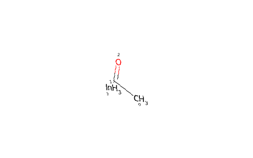 C[C]=O.[InH3]